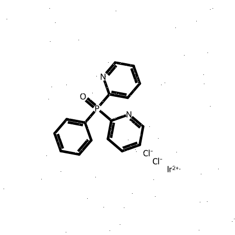 O=P(c1ccccc1)(c1ccccn1)c1ccccn1.[Cl-].[Cl-].[Ir+2]